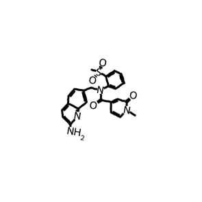 Cn1ccc(C(=O)N(Cc2ccc3ccc(N)nc3c2)c2ccccc2S(C)(=O)=O)cc1=O